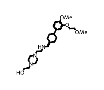 COCCOc1cc(C2CCC(=CNCCN3CCN(CCO)CC3)CC2)ccc1OC